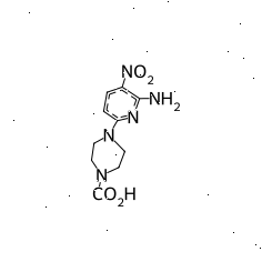 Nc1nc(N2CCN(C(=O)O)CC2)ccc1[N+](=O)[O-]